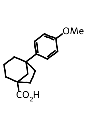 COc1ccc(C23CCCC(C(=O)O)(CC2)C3)cc1